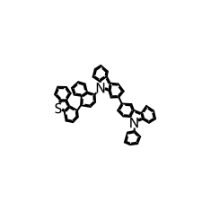 c1ccc(-n2c3ccccc3c3cc(-c4ccc5c6ccccc6n(-c6ccc(-c7cccc8sc9ccccc9c78)c7ccccc67)c5c4)ccc32)cc1